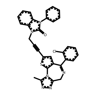 Cc1nnc2n1-c1sc(C#CCn3c(=O)n(-c4ccccc4)c4ccccc43)cc1C(c1ccccc1Cl)=NC2